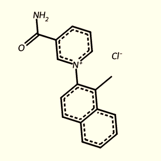 Cc1c(-[n+]2cccc(C(N)=O)c2)ccc2ccccc12.[Cl-]